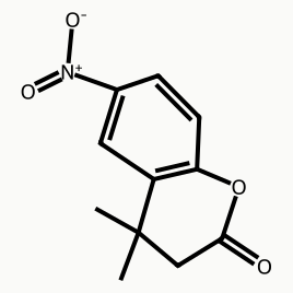 CC1(C)CC(=O)Oc2ccc([N+](=O)[O-])cc21